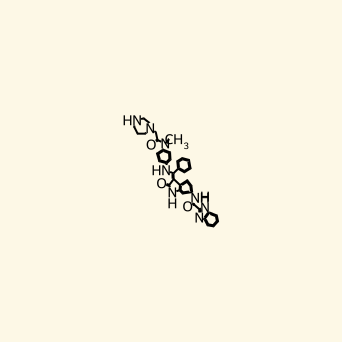 CN(C(=O)CN1CCCNCC1)c1ccc(N/C(=C2\C(=O)Nc3cc(NC(=O)c4nc5ccccc5[nH]4)ccc32)c2ccccc2)cc1